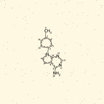 Cc1ccc(-n2ccc3c(N)ncnc32)cc1